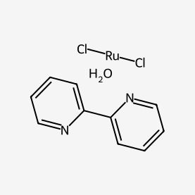 O.[Cl][Ru][Cl].c1ccc(-c2ccccn2)nc1